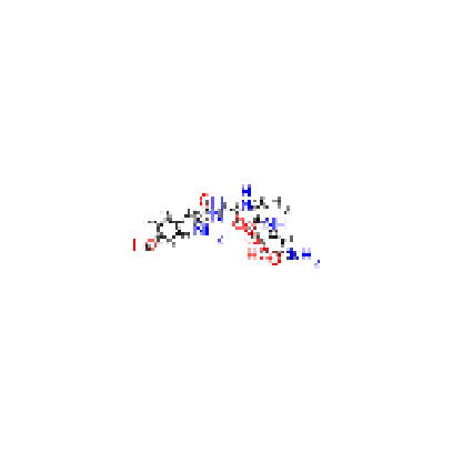 C[C@H](NC(=O)CNC(=O)[C@@H](N)Cc1ccc(O)cc1)C(=O)N[C@@H](CC(N)=O)C(=O)O